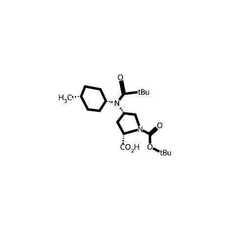 CC(C)(C)OC(=O)N1C[C@@H](N(C(=O)C(C)(C)C)[C@H]2CC[C@@H](C)CC2)C[C@H]1C(=O)O